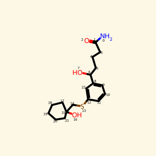 NC(=O)CCCC(O)c1cccc(SCC2(O)CCCCC2)c1